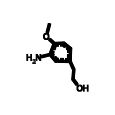 COc1ccc(CCO)cc1N